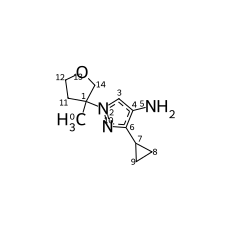 CC1(n2cc(N)c(C3CC3)n2)CCOC1